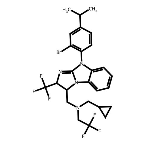 CC(C)c1ccc(N2C3=NC(C(F)(F)F)C(CN(CC4CC4)CC(F)(F)F)N3c3ccccc32)c(Br)c1